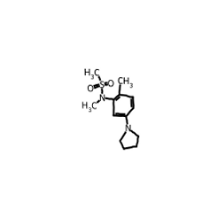 Cc1ccc(N2CCCC2)cc1N(C)S(C)(=O)=O